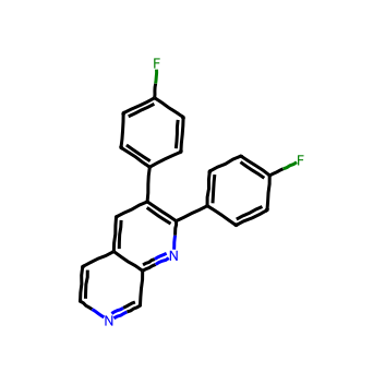 Fc1ccc(-c2cc3ccncc3nc2-c2ccc(F)cc2)cc1